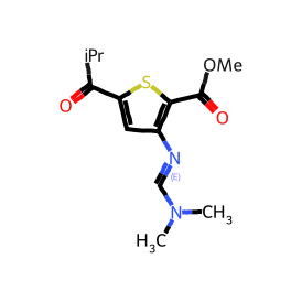 COC(=O)c1sc(C(=O)C(C)C)cc1/N=C/N(C)C